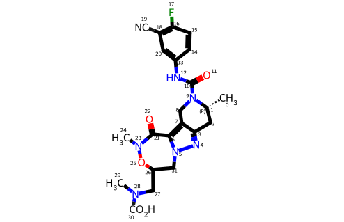 C[C@@H]1Cc2nn3c(c2CN1C(=O)Nc1ccc(F)c(C#N)c1)C(=O)N(C)OC(CN(C)C(=O)O)C3